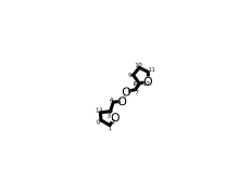 C1COC(COOCC2CCCO2)C1